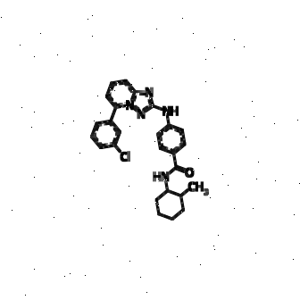 CC1CCCCC1NC(=O)c1ccc(Nc2nc3cccc(-c4cccc(Cl)c4)n3n2)cc1